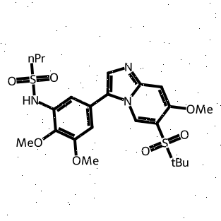 CCCS(=O)(=O)Nc1cc(-c2cnc3cc(OC)c(S(=O)(=O)C(C)(C)C)cn23)cc(OC)c1OC